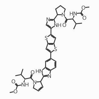 COC(=O)N[C@H](C(=O)N1CC=CC1c1nc2ccc(-c3cc4sc(-c5cnc(C6CCCN6C(=O)[C@@H](NC(=O)OC)C(C)C)[nH]5)cc4s3)cc2[nH]1)C(C)C